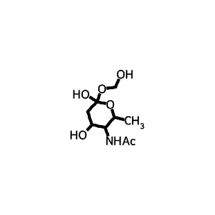 CC(=O)NC1C(O)CC(O)(OCO)OC1C